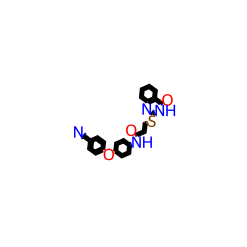 N#Cc1ccc(OC2CCC(NC(=O)CCSc3nc4c(c(=O)[nH]3)CCCC4)CC2)cc1